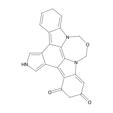 O=C1C=c2c(c3c4c[nH]cc4c4c5c(n6c4c3n2COC6)=CCC=C5)C(=O)C1